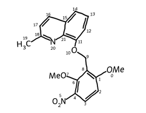 COc1ccc([N+](=O)[O-])c(OC)c1COc1cccc2ccc(C)nc12